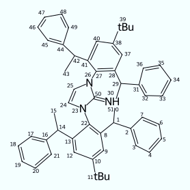 CC(c1ccccc1)c1cc(C(C)(C)C)cc(C(C)c2ccccc2)c1-n1ccn(-c2c(C(C)c3ccccc3)cc(C(C)(C)C)cc2C(C)c2ccccc2)c1=N